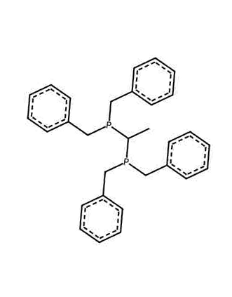 CC(P(Cc1ccccc1)Cc1ccccc1)P(Cc1ccccc1)Cc1ccccc1